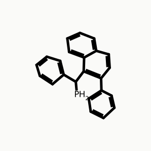 PC(c1ccccc1)c1c(-c2ccccc2)ccc2ccccc12